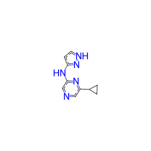 c1cc(Nc2cncc(C3CC3)n2)n[nH]1